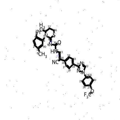 Cc1ccc(C(C)C)c(N2/C(=N/C(=O)N/C=C(\C#N)c3ccc(-c4ncn(-c5ccc(OC(F)(F)F)cc5)n4)cc3)SCCC2C)c1